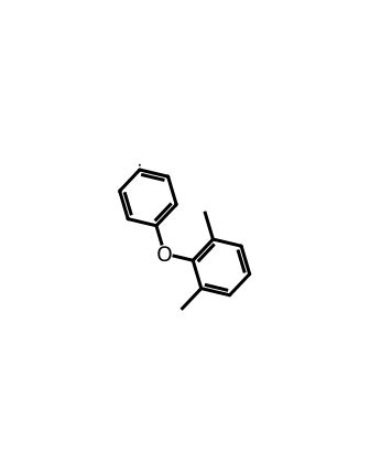 Cc1cccc(C)c1Oc1cc[c]cc1